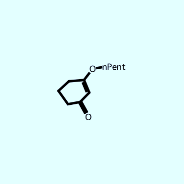 CCCCCOC1=CC(=O)CCC1